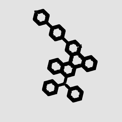 c1ccc(N(c2ccccc2)c2cc3c4ccccc4c4ncc(-c5ccc(-c6ccncc6)cc5)cc4c3c3ccccc23)cc1